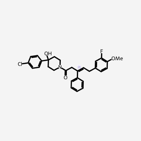 COc1ccc(C/C=C(/CC(=O)N2CCC(O)(c3ccc(Cl)cc3)CC2)c2ccccc2)cc1F